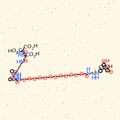 O=C(O)CC[C@H](NC(=O)N[C@@H](CCC(=O)NCCCCCCCC(=O)N[C@@H](Cc1ccccc1)C(=O)N[C@@H](Cc1ccccc1)C(=O)NCCOCCOCCOCCOCCOCCOCCOCCOCCOCCOCCOCCOCCC(=O)NCCNC(=S)Nc1ccc(-c2c3ccc(=O)cc-3oc3cc(O)ccc23)c(C(=O)O)c1)C(=O)O)C(=O)O